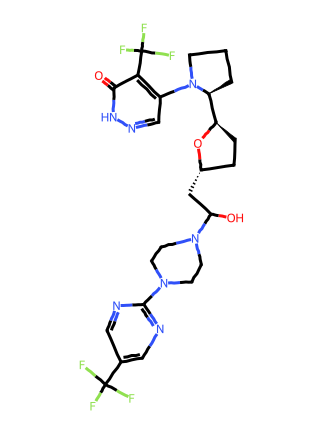 O=c1[nH]ncc(N2CCC[C@H]2[C@H]2CC[C@H](CC(O)N3CCN(c4ncc(C(F)(F)F)cn4)CC3)O2)c1C(F)(F)F